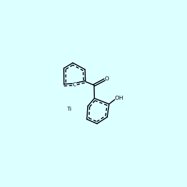 O=C(c1ccccc1)c1ccccc1O.[Ti]